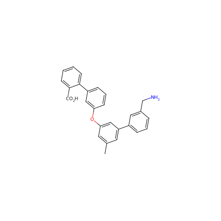 Cc1cc(Oc2cccc(-c3ccccc3C(=O)O)c2)cc(-c2cccc(CN)c2)c1